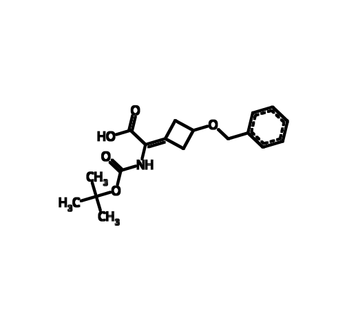 CC(C)(C)OC(=O)NC(C(=O)O)=C1CC(OCc2ccccc2)C1